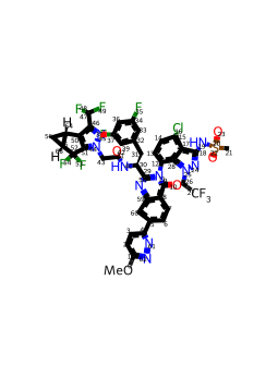 COc1ccc(-c2ccc3c(=O)n(-c4ccc(Cl)c5c(NS(C)(=O)=O)nn(CC(F)(F)F)c45)c([C@H](Cc4cc(F)cc(F)c4)NC(=O)Cn4nc(C(F)F)c5c4C(F)(F)[C@@H]4C[C@H]54)nc3c2)nn1